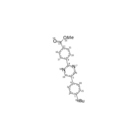 CCCCc1ccc(-c2cnc(-c3ccc(C(=O)OC)cc3)nc2)cc1